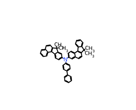 CC1(C)c2cc(N(c3ccc(-c4ccccc4)cc3)c3ccc4c5c(ccc4c3)C(C)(C)c3ccccc3-5)ccc2-c2c1ccc1ccccc21